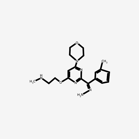 CNCCOc1cc(N2CCOCC2)nc(/C(=N\N)c2cccc(C)c2)n1